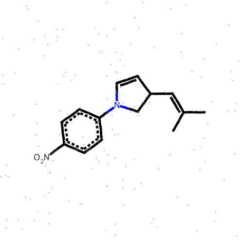 CC(C)=CC1C=CN(c2ccc([N+](=O)[O-])cc2)C1